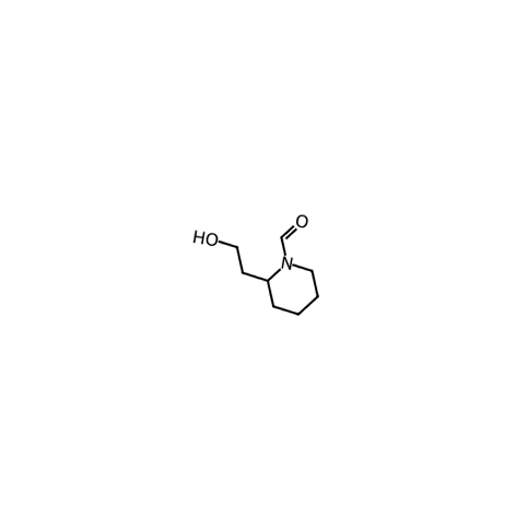 O=CN1CCCCC1CCO